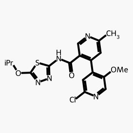 COc1cnc(Cl)cc1-c1cc(C)ncc1C(=O)Nc1nnc(OC(C)C)s1